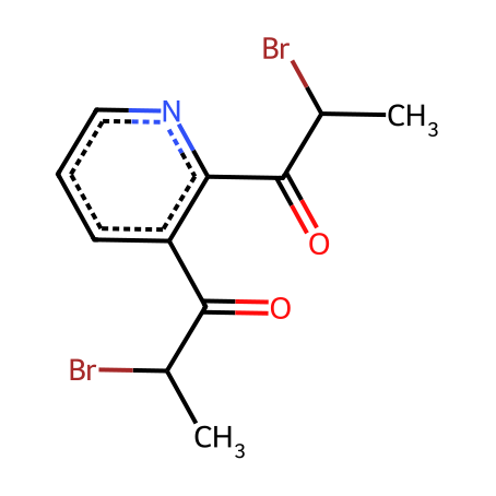 CC(Br)C(=O)c1cccnc1C(=O)C(C)Br